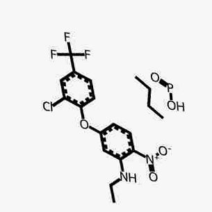 CCCC.CCNc1cc(Oc2ccc(C(F)(F)F)cc2Cl)ccc1[N+](=O)[O-].O=PO